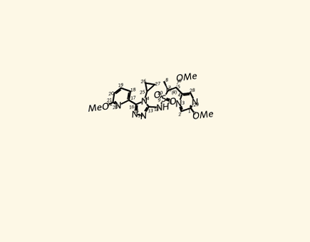 COc1cnc([C@@H](OC)[C@H](C)S(=O)(=O)Nc2nnc(-c3cccc(OC)n3)n2C2CC2)cn1